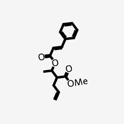 C=CCC(C(=O)OC)C(C)OC(=O)C=Cc1ccccc1